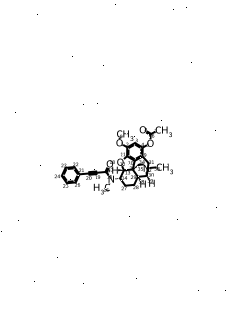 COc1cc(OC(C)=O)c2c3c1O[C@H]1[C@@H](N(C)C(=O)C#Cc4ccccc4)CC[C@H]4[C@@H](C2)N(C)CC[C@@]341